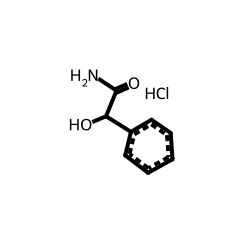 Cl.NC(=O)C(O)c1ccccc1